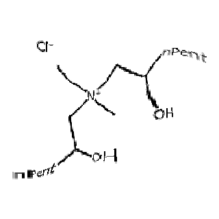 CCCCCC(O)C[N+](C)(C)CC(O)CCCCC.[Cl-]